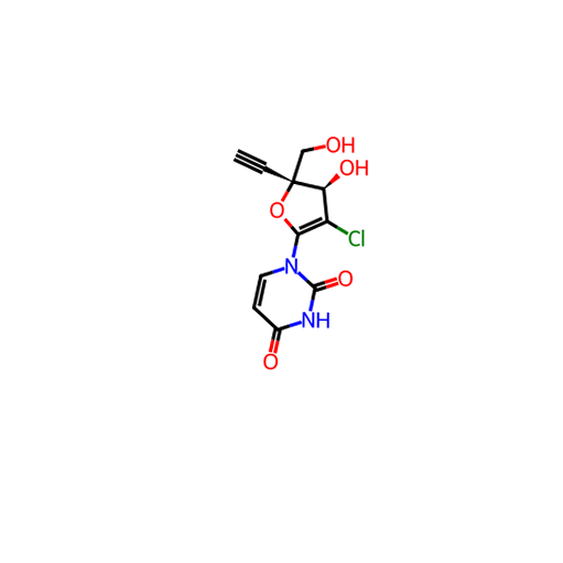 C#C[C@]1(CO)OC(n2ccc(=O)[nH]c2=O)=C(Cl)[C@@H]1O